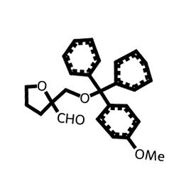 COc1ccc(C(OCC2(C=O)CCCO2)(c2ccccc2)c2ccccc2)cc1